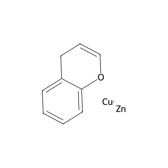 C1=COc2ccccc2C1.[Cu].[Zn]